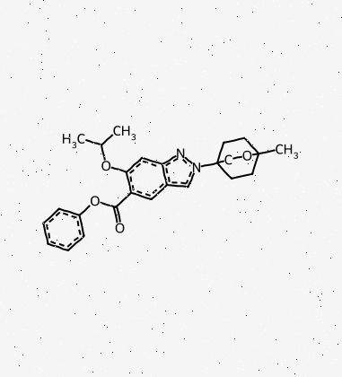 CC(C)Oc1cc2nn(C34CCC(C)(CC3)OC4)cc2cc1C(=O)Oc1ccccc1